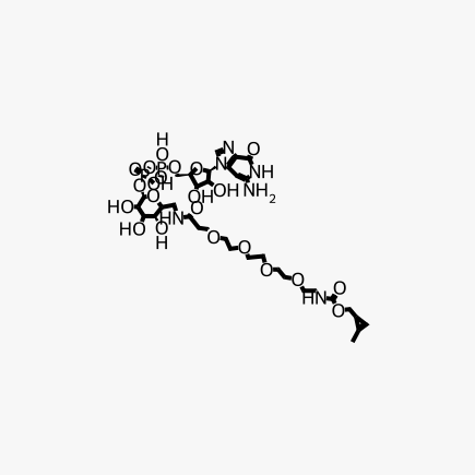 CC1=CC1COC(=O)NCCOCCOCCOCCOCCC(=O)NCC1O[C@H](OP(=O)(O)OP(=O)(O)OC[C@H]2O[C@@H](n3cnc4c(=O)[nH]c(N)cc43)C(O)C2O)C(O)C(O)[C@@H]1O